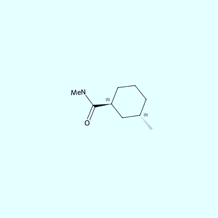 CNC(=O)[C@H]1CCC[C@H](C)C1